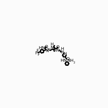 Cc1[nH]c(C=NN=C2C(=O)Nc3cc(C(F)(F)F)ccc32)c(C)c1C(=O)NCCNc1ccc(C(=O)Nc2ccccc2N)cn1